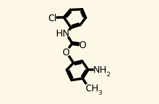 Cc1ccc(OC(=O)Nc2ccccc2Cl)cc1N